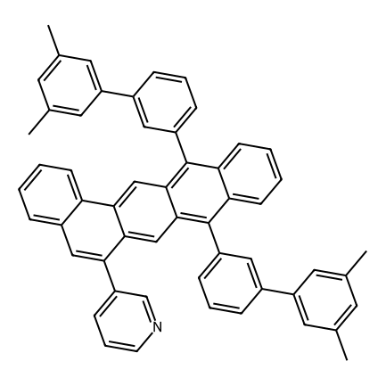 Cc1cc(C)cc(-c2cccc(-c3c4ccccc4c(-c4cccc(-c5cc(C)cc(C)c5)c4)c4cc5c(cc34)c(-c3cccnc3)cc3ccccc35)c2)c1